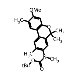 COc1cc2c(cc1C)-c1cc(C)c(N(C)C(=O)OC(C)(C)C)cc1C(C)(C)O2